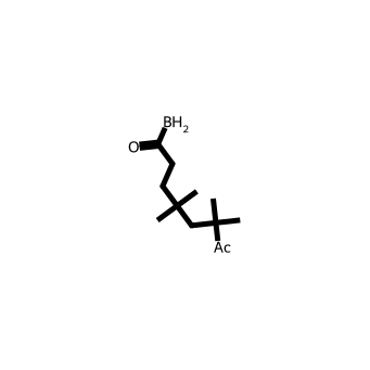 BC(=O)CCC(C)(C)CC(C)(C)C(C)=O